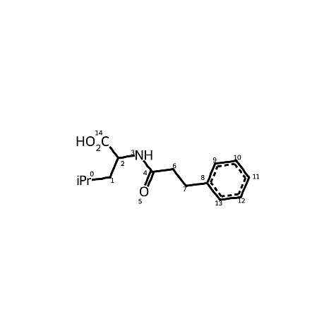 CC(C)CC(NC(=O)CCc1ccccc1)C(=O)O